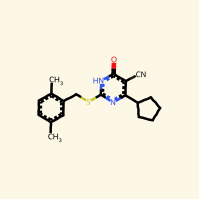 Cc1ccc(C)c(CSc2nc(C3CCCC3)c(C#N)c(=O)[nH]2)c1